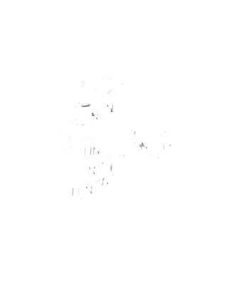 Cc1nc(N)nc(NCCCc2nc3cccc(C)c3c(=O)n2-c2ccccc2)c1/C=C/C(=O)N1CCOCC1